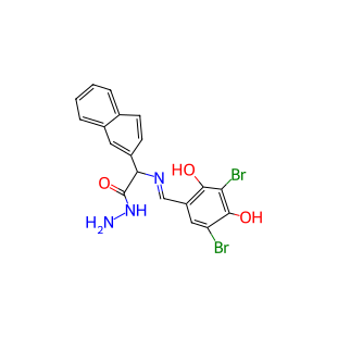 NNC(=O)C(N=Cc1cc(Br)c(O)c(Br)c1O)c1ccc2ccccc2c1